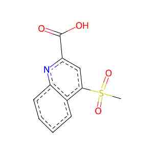 CS(=O)(=O)c1cc(C(=O)O)nc2ccccc12